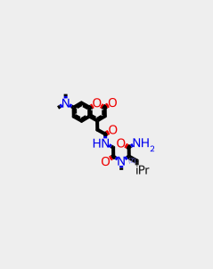 CC(C)/C=C(/C(N)=O)N(C)C(=O)CNC(=O)Cc1cc(=O)oc2cc(N(C)C)ccc12